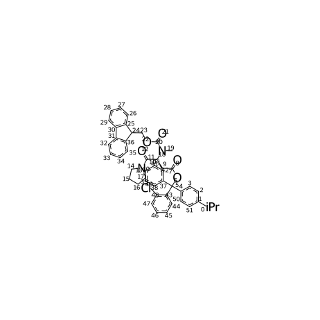 CC(C)c1ccc(C(OC(=O)C[C@@H](C(=O)N2CCCC2)N(C)C(=O)OCC2c3ccccc3-c3ccccc32)(c2ccccc2)c2ccccc2Cl)cc1